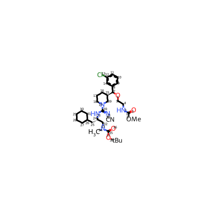 COC(=O)NCCOC(c1cccc(Cl)c1)[C@@H]1CCCN(C(=NC#N)N[C@@H](CC2CCCCC2)CN(C)C(=O)OC(C)(C)C)C1